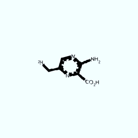 [2H]Cc1cnc(N)c(C(=O)O)n1